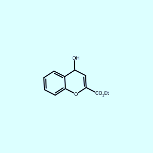 CCOC(=O)C1=CC(O)c2ccccc2O1